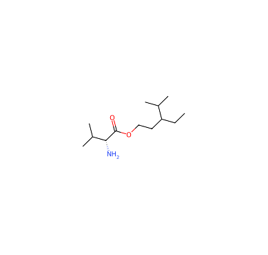 CCC(CCOC(=O)[C@H](N)C(C)C)C(C)C